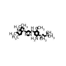 COc1cc(N(C)CCN(C)C)c(N)cc1Nc1cc(N2CC(C)(C)c3nc(C)c(C)cc32)ncn1